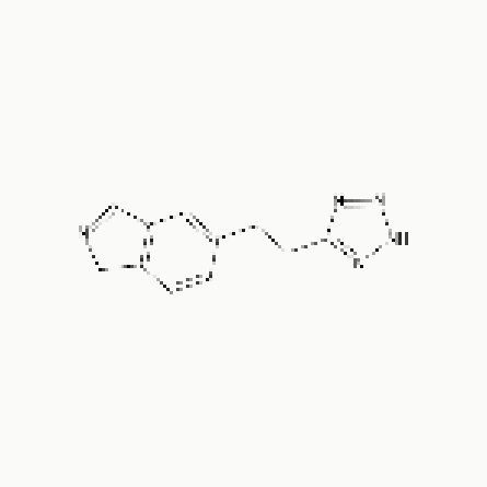 C1=NCc2ccc(CCc3nn[nH]n3)cc21